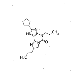 CCCC1CN2C(=O)N(CCC)c3nc(C4CCCC4)[nH]c3C2=N1